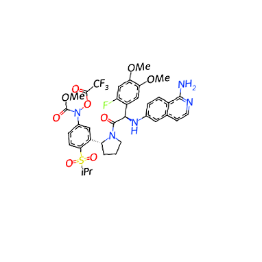 COC(=O)N(OC(=O)C(F)(F)F)c1ccc(S(=O)(=O)C(C)C)c([C@H]2CCCN2C(=O)[C@H](Nc2ccc3c(N)nccc3c2)c2cc(OC)c(OC)cc2F)c1